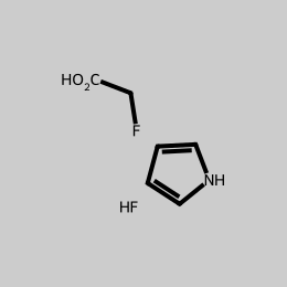 F.O=C(O)CF.c1cc[nH]c1